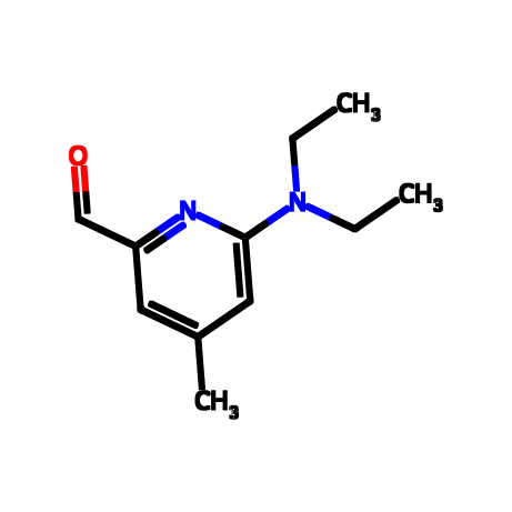 CCN(CC)c1cc(C)cc(C=O)n1